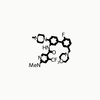 CNc1cc(C(F)(F)F)c(C(=O)Nc2cc(-c3cc(CN4CCOCC4)ccc3F)ccc2N2CCN(C)CC2)cn1